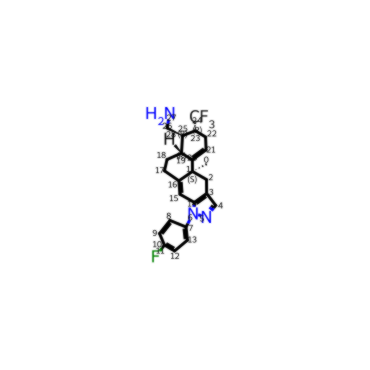 C[C@]12Cc3cnn(-c4ccc(F)cc4)c3C=C1CC[C@H]1C2=CC[C@@H](C(F)(F)F)[C@@H]1CN